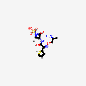 CC(N)CO/N=C(\C(=O)N[C@@H]1C(=O)N(S(=O)(=O)O)[C@H]1C)c1cccs1